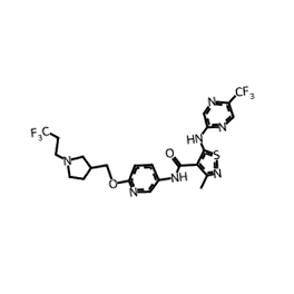 Cc1nsc(Nc2cnc(C(F)(F)F)cn2)c1C(=O)Nc1ccc(OCC2CCN(CCC(F)(F)F)C2)nc1